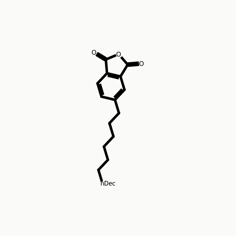 CCCCCCCCCCCCCCCCc1ccc2c(c1)C(=O)OC2=O